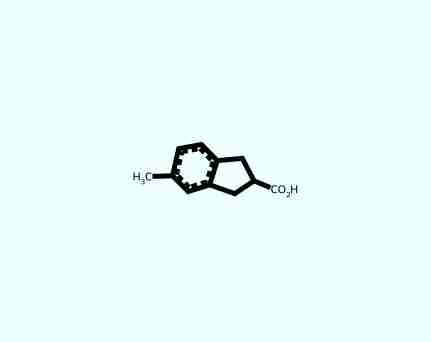 Cc1ccc2c(c1)CC(C(=O)O)C2